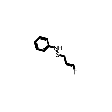 FC=CCSNc1ccccc1